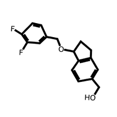 OCc1ccc2c(c1)CCC2OCc1ccc(F)c(F)c1